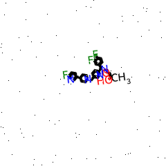 C[C@H](O)CON=C(c1ccc(F)c(F)c1)c1ccc(CN2CCC(c3ccc(F)nc3)CC2)cn1